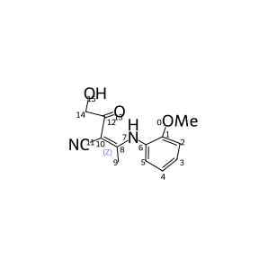 COc1ccccc1N/C(C)=C(/C#N)C(=O)CO